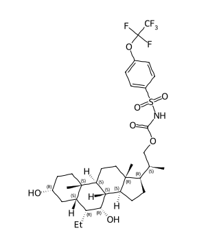 CC[C@H]1[C@@H](O)[C@@H]2[C@H](CC[C@]3(C)[C@@H]([C@H](C)COC(=O)NS(=O)(=O)c4ccc(OC(F)(F)C(F)(F)F)cc4)CC[C@@H]23)[C@@]2(C)CC[C@@H](O)C[C@@H]12